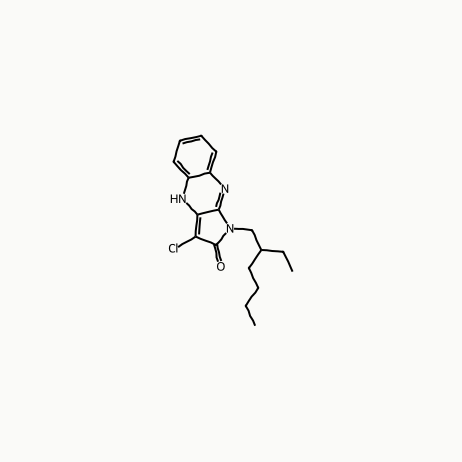 CCCCC(CC)Cn1c2nc3ccccc3[nH]c-2c(Cl)c1=O